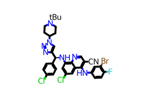 CC(C)(C)N1CCC(n2cc([C@@H](Nc3cc(Cl)cc4c(Nc5ccc(F)c(Br)c5)c(C#N)cnc34)c3ccc(Cl)cc3)nn2)CC1